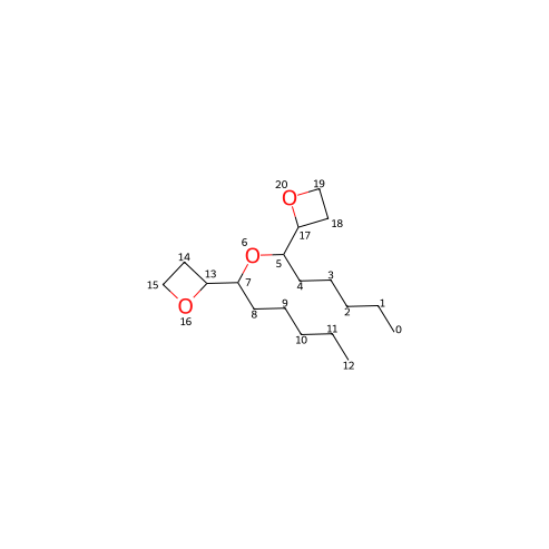 CCCCCC(OC(CCCCC)C1CCO1)C1CCO1